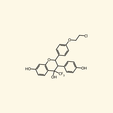 Oc1ccc(C2C(c3ccc(OCCCl)cc3)Oc3cc(O)ccc3C2(O)C(F)(F)F)cc1